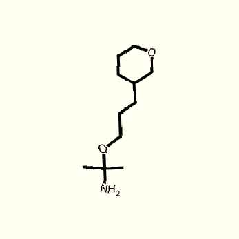 CC(C)(N)OCCCC1CCCOC1